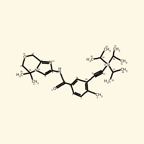 Cc1ccc(C(=O)Nc2cn3c(n2)COCC3(C)C)cc1C#C[Si](C(C)C)(C(C)C)C(C)C